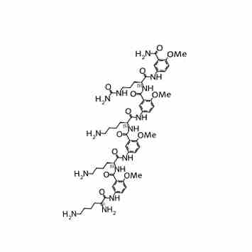 COc1ccc(NC(=O)[C@H](CCCNC(N)=O)NC(=O)c2cc(NC(=O)[C@H](CCCCN)NC(=O)c3cc(NC(=O)[C@H](CCCCN)NC(=O)c4cc(NC(=O)[C@@H](N)CCCCN)ccc4OC)ccc3OC)ccc2OC)cc1C(N)=O